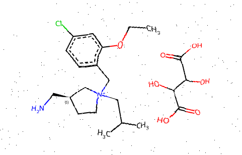 CCOc1cc(Cl)ccc1C[N+]1(CC(C)C)CC[C@@H](CN)C1.O=C(O)C(O)C(O)C(=O)O